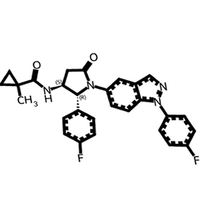 CC1(C(=O)N[C@H]2CC(=O)N(c3ccc4c(cnn4-c4ccc(F)cc4)c3)[C@@H]2c2ccc(F)cc2)CC1